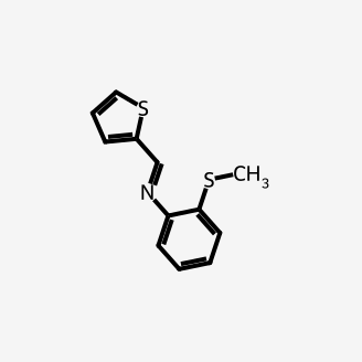 CSc1ccccc1/N=C/c1cccs1